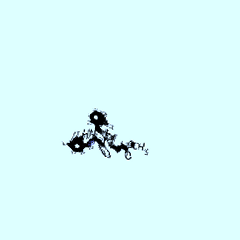 COC(=O)CCNC(=O)/C(=C/c1ccccc1)NC(=O)c1ccccc1